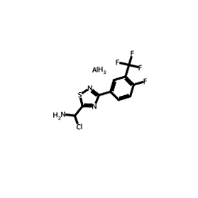 NC(Cl)c1nc(-c2ccc(F)c(C(F)(F)F)c2)ns1.[AlH3]